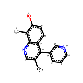 Cc1cnc2c(C)c(O)ccc2c1-c1cccnc1